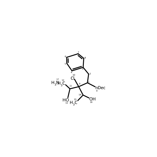 CCCCCCCCCCC(Cc1ccccc1)C(Cl)(C(C)O)C(C)O.N